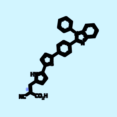 N#C/C(=C/c1ccc(-c2ccc(-c3ccc(-c4nc5ccccc5n4-c4ccccc4)cc3)s2)[nH]1)C(=O)O